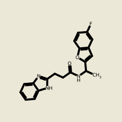 CC(NC(=O)CCc1nc2ccccc2[nH]1)c1cc2cc(F)ccc2o1